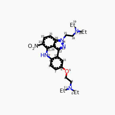 CCN(CC)CCOc1ccc2c(c1)-c1nn(CCN(CC)CC)c3ccc([N+](=O)[O-])c(c13)N2